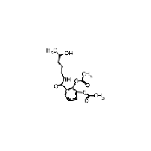 CC(=O)Oc1cccc(C(=O)NCCCC(C)O)c1OC(C)=O